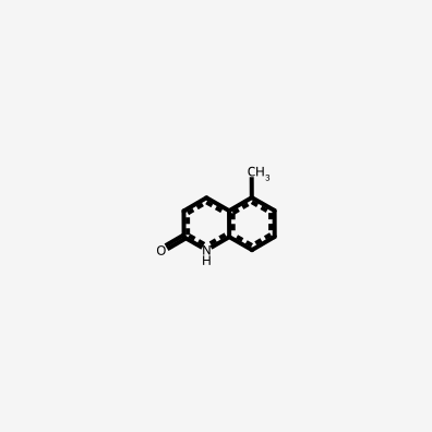 Cc1cccc2[nH]c(=O)ccc12